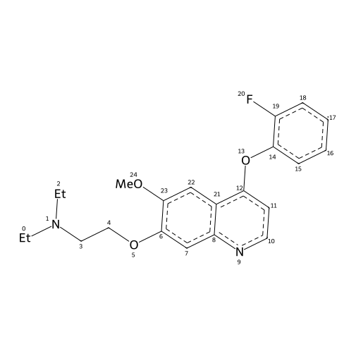 CCN(CC)CCOc1cc2nccc(Oc3cc[c]cc3F)c2cc1OC